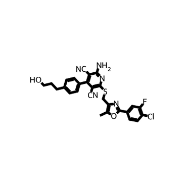 Cc1oc(-c2ccc(Cl)c(F)c2)nc1CSc1nc(N)c(C#N)c(-c2ccc(CCCO)cc2)c1C#N